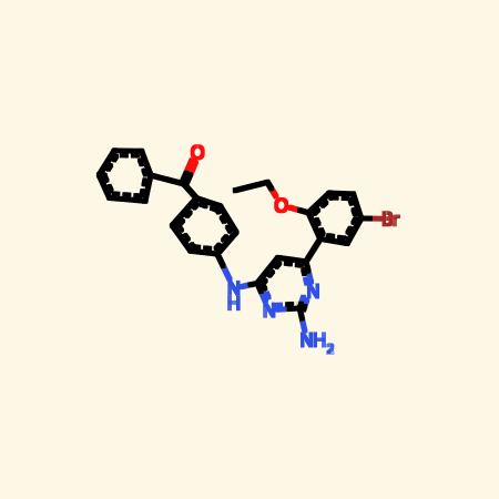 CCOc1ccc(Br)cc1-c1cc(Nc2ccc(C(=O)c3ccccc3)cc2)nc(N)n1